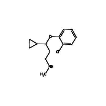 CNCCC(Oc1ccccc1Cl)C1CC1